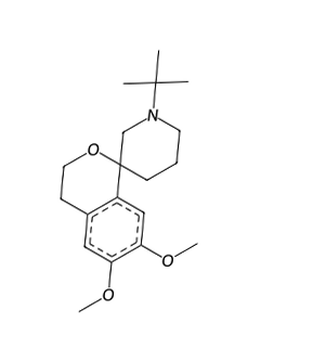 COc1cc2c(cc1OC)C1(CCCN(C(C)(C)C)C1)OCC2